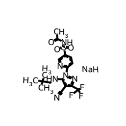 CC(=O)NS(=O)(=O)c1ccc(-n2nc(C(F)(F)F)c(C#N)c2NCC(C)(C)C)nc1.[NaH]